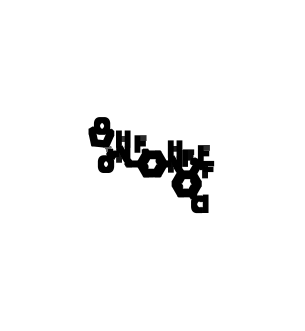 O=C(NCc1ccc(Nc2ccc(Cl)cc2C(F)(F)F)cc1F)[C@@H]1CCOC1